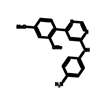 COc1ccc(-c2cc(Nc3ccc(N)cc3)ncn2)c(OC)c1